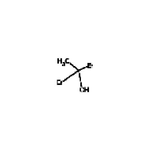 C[C](O)([Er])[Er]